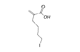 C=C(CCCCI)C(=O)O